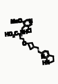 COc1cncc(Cl)c1CN[C@@H](CCOC1CC(CCc2ccc3c(n2)NCCC3)C1)C(=O)O